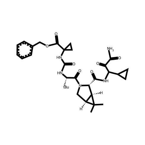 CC(C)(C)[C@H](NC(=O)NC1(C(=O)OCc2ccccc2)CC1)C(=O)N1C[C@H]2[C@@H]([C@H]1C(=O)NC(C(=O)C(N)=O)C1CC1)C2(C)C